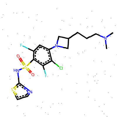 CN(C)CCCC1CN(c2cc(F)c(S(=O)(=O)Nc3nccs3)c(F)c2Cl)C1